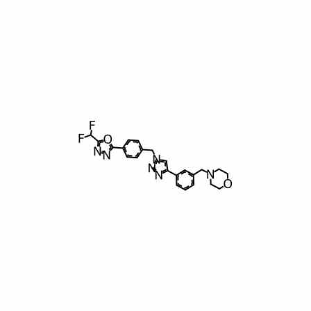 FC(F)c1nnc(-c2ccc(Cn3cc(-c4cccc(CN5CCOCC5)c4)nn3)cc2)o1